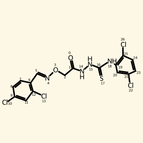 O=C(CO/N=C/c1ccc(Cl)cc1Cl)NNC(=S)Nc1cc(Cl)ccc1Cl